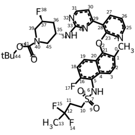 Cc1ccc2c(NS(=O)(=O)CCC(C)(F)F)c(F)ccc2c1Oc1ncccc1-c1ccnc(N[C@H]2C[C@H](F)CN(C(=O)OC(C)(C)C)C2)n1